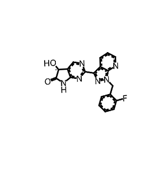 O=C1Nc2nc(-c3nn(Cc4ccccc4F)c4ncccc34)ncc2[C]1O